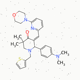 CN(C)c1ccc(C2C(=Cc3cccc(N4CCOCC4)n3)C(=O)C(C)(C)CN2Cc2cccs2)cc1